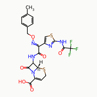 Cc1ccc(CON=C(C(=O)NC2C(=O)N3C(C(=O)O)=CCS[C@@H]23)c2csc(NC(=O)C(F)(F)F)n2)cc1